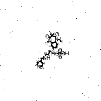 CCN1C(=O)C(C)(C)C(=O)N(C)c2cc(OCCCNCc3ccncc3)ccc21.O=S(=O)(O)O